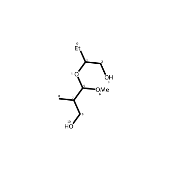 CCC(CO)OC(OC)C(C)CO